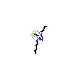 CCCCCCN1N=CN(CCCC)C1C(F)(F)F